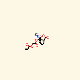 [C-]#[N+]C12OC(=O)C3CC(CC31)C2OC(=O)COC(=O)C=C